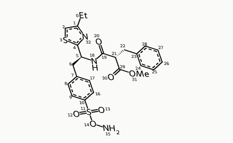 CCc1csc([C@H](Cc2ccc(S(=O)(=O)ON)cc2)NC(=O)[C@H](Cc2ccccc2)C(=O)OC)n1